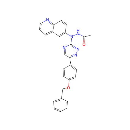 CC(=O)NN(c1ccc2ncccc2c1)c1ncc(-c2ccc(OCc3ccccc3)cc2)nn1